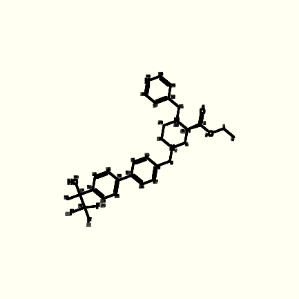 CCOC(=O)[C@H]1CN(Cc2ccc(-c3ccc(C(C)(O)C(F)(F)F)cc3)cc2)CCN1Cc1ccncc1